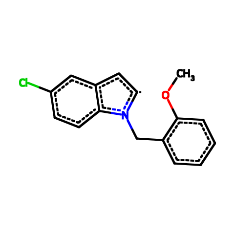 COc1ccccc1Cn1[c]cc2cc(Cl)ccc21